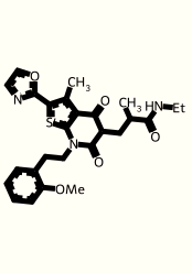 CCNC(=O)C(C)CC1C(=O)c2c(sc(-c3ncco3)c2C)N(CCc2ccccc2OC)C1=O